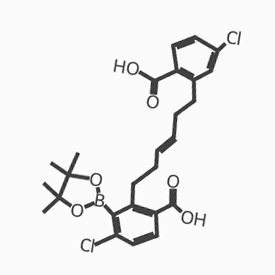 CC1(C)OB(c2c(Cl)ccc(C(=O)O)c2CC/C=C/CCc2cc(Cl)ccc2C(=O)O)OC1(C)C